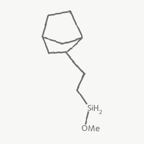 CO[SiH2]CCC1CC2CCC1C2